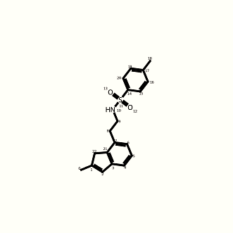 CC1=Cc2cccc(CCNS(=O)(=O)c3ccc(C)cc3)c2C1